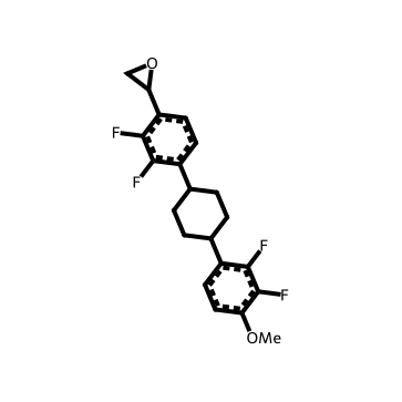 COc1ccc(C2CCC(c3ccc(C4CO4)c(F)c3F)CC2)c(F)c1F